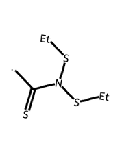 [CH2]C(=S)N(SCC)SCC